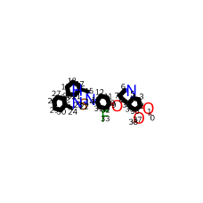 COc1cc2nccc(Oc3ccc(N(Cc4ccccc4)SNCc4ccccc4)cc3F)c2cc1OC